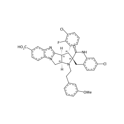 COc1cccc(CCN2[C@H]3Cn4c(nc5cc(C(=O)O)ccc54)[C@H]3[C@H](c3cccc(Cl)c3F)[C@@]23Cc2ccc(Cl)cc2NC3=O)c1